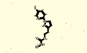 CCNC(=O)OCCc1ccn(-c2ccc(F)cn2)n1